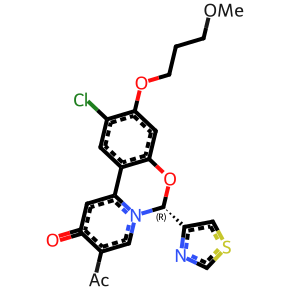 COCCCOc1cc2c(cc1Cl)-c1cc(=O)c(C(C)=O)cn1[C@@H](c1cscn1)O2